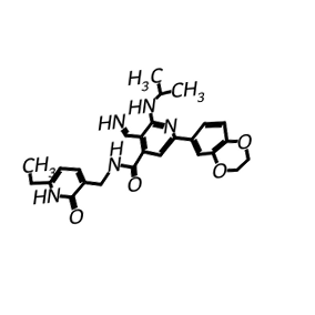 CCc1ccc(CNC(=O)c2cc(-c3ccc4c(c3)OCCO4)nc(NC(C)C)c2C=N)c(=O)[nH]1